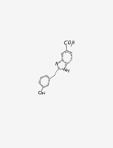 O=C(O)c1ccc2[nH]c(Cc3cccc(O)c3)nc2c1